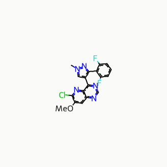 COc1cc2ncnc(-c3cn(C)nc3-c3c(F)cccc3F)c2nc1Cl